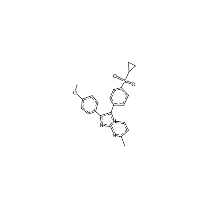 COc1ccc(-c2nc3nc(C)ccn3c2-c2ccc(S(=O)(=O)C3CC3)cc2)cc1